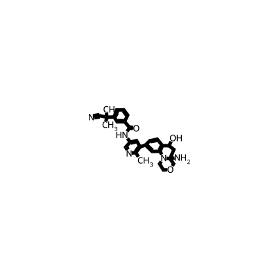 Cc1ncc(NC(=O)c2cccc(C(C)(C)C#N)c2)cc1-c1ccc2c(c1)N1CCOCC1(N)CC2O